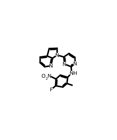 Cc1cc(F)c([N+](=O)[O-])cc1Nc1nccc(-n2ccc3cccnc32)n1